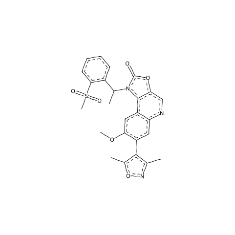 COc1cc2c(cc1-c1c(C)noc1C)ncc1oc(=O)n(C(C)c3ccccc3S(C)(=O)=O)c12